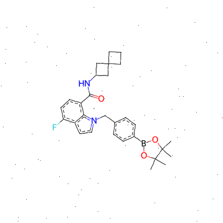 CC1(C)OB(c2ccc(Cn3ccc4c(F)ccc(C(=O)NC5CC6(CCC6)C5)c43)cc2)OC1(C)C